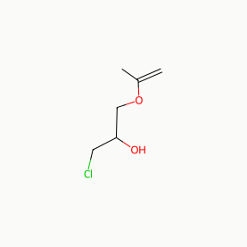 C=C(C)OCC(O)CCl